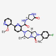 CCOc1ncccc1-c1ccc(N2C[C@H]3CN(c4ccc(F)cc4C#N)C(=O)N3C[C@H]2CC)c(C(=O)N[C@H]2CNC(=O)C2)n1